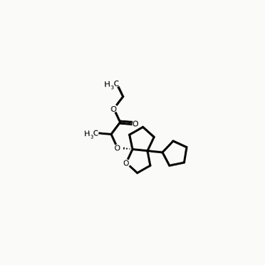 CCOC(=O)C(C)O[C@]12CCCC1(C1CCCC1)CCO2